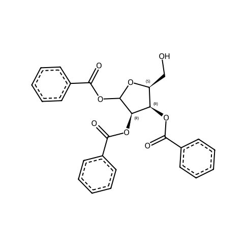 O=C(OC1O[C@@H](CO)[C@@H](OC(=O)c2ccccc2)[C@H]1OC(=O)c1ccccc1)c1ccccc1